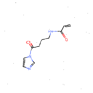 C=CC(=O)NCCCC(=O)n1ccnc1